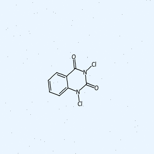 O=c1c2ccccc2n(Cl)c(=O)n1Cl